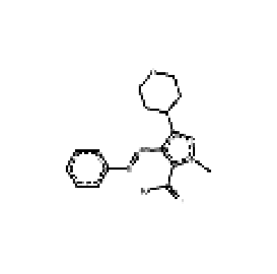 Cn1nc(C2CCOCC2)c(N=Nc2ccccc2)c1C(=O)O